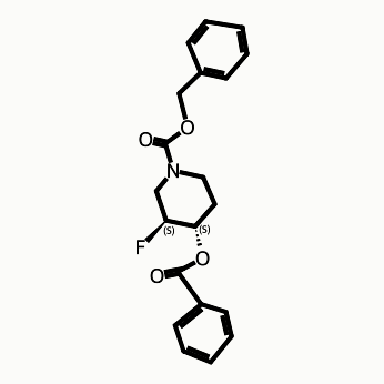 O=C(O[C@H]1CCN(C(=O)OCc2ccccc2)C[C@@H]1F)c1ccccc1